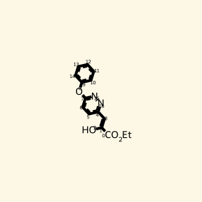 CCOC(=O)C(O)=Cc1ccc(Oc2ccccc2)nn1